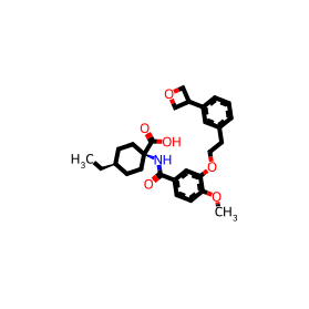 CC[C@H]1CC[C@](NC(=O)c2ccc(OC)c(OCCc3cccc(C4COC4)c3)c2)(C(=O)O)CC1